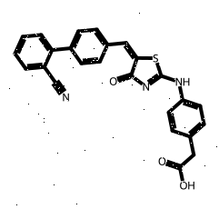 N#Cc1ccccc1-c1ccc(C=C2SC(Nc3ccc(CC(=O)O)cc3)=NC2=O)cc1